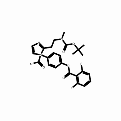 CN(CCC1=NC=C[N+]1(C(=O)[O-])c1ccc(OC(=O)c2c(F)cccc2F)cc1)C(=O)OC(C)(C)C